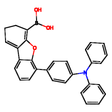 OB(O)C1=c2oc3c(-c4ccc(N(c5ccccc5)c5ccccc5)cc4)cccc3c2=CCC1